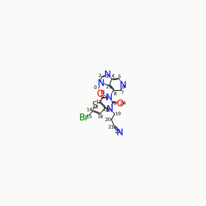 Cn1cnc2cncc(-n3c(=O)c4sc(Br)cc4n(CCC#N)c3=O)c21